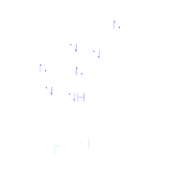 CN(C)C1CCCN(c2ncc3ncnc(Nc4ccc(F)c(Cl)c4)c3n2)C1